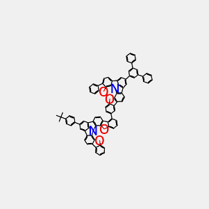 CC(C)(C)c1ccc(-c2cc3c4ccc5c6ccccc6oc5c4n4c3c(c2)c2ccc3c(oc5cccc(-c6ccc7oc8c(ccc9c%10cc(-c%11cc(-c%12ccccc%12)cc(-c%12ccccc%12)c%11)cc%11c%12ccc%13c%14ccccc%14oc%13c%12n(c%11%10)c98)c7c6)c53)c24)cc1